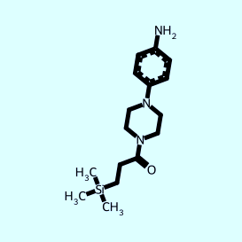 C[Si](C)(C)CCC(=O)N1CCN(c2ccc(N)cc2)CC1